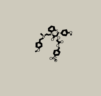 COc1ccc(CCN(C)CCN2C(=O)[C@@H](OCC(=O)OCc3ccc([N+](=O)[O-])cc3)[C@@H](c3ccc(OC)cc3)Sc3ccccc32)cc1